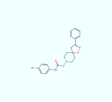 O=C(Nc1ccc(Br)cc1)ON1CCC2(CC1)CC(c1ccccc1)=NO2